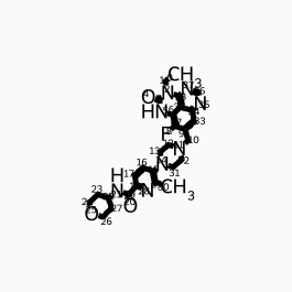 CCN1C(=O)Nc2c(F)c(CN3CCN(c4ccc(C(=O)NC5CCOCC5)nc4C)CC3)cc3ncnc1c23